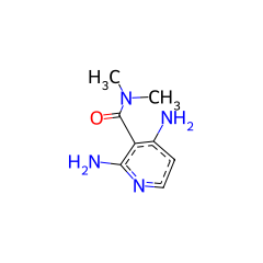 CN(C)C(=O)c1c(N)ccnc1N